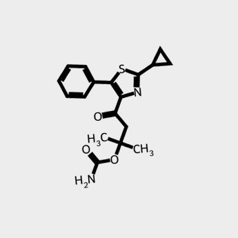 CC(C)(CC(=O)c1nc(C2CC2)sc1-c1ccccc1)OC(N)=O